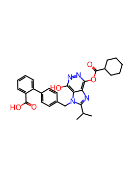 CC(C)c1nc2c(OC(=O)C3CCCCC3)nnc(O)c2n1Cc1ccc(-c2ccccc2C(=O)O)cc1